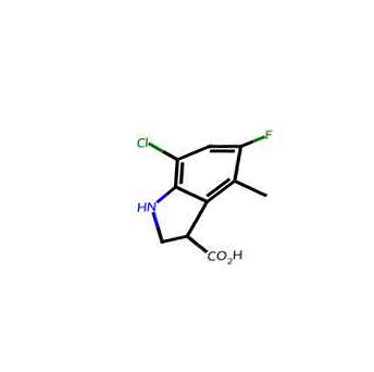 Cc1c(F)cc(Cl)c2c1C(C(=O)O)CN2